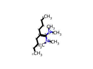 CCCCC(CCCC)=C(N(C)C)N(C)C